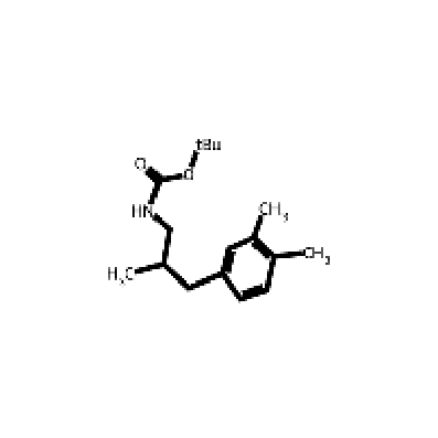 Cc1ccc(CC(C)CNC(=O)OC(C)(C)C)cc1C